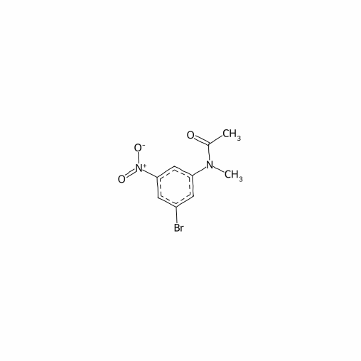 CC(=O)N(C)c1cc(Br)cc([N+](=O)[O-])c1